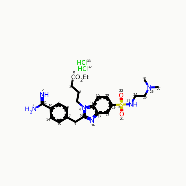 CCOC(=O)CCCn1c(Cc2ccc(C(=N)N)cc2)nc2cc(S(=O)(=O)NCCN(C)C)ccc21.Cl.Cl